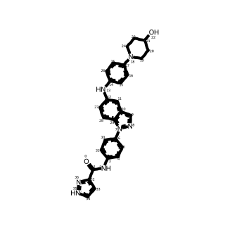 O=C(Nc1ccc(-n2ncc3cc(Nc4ccc(N5CCC(O)CC5)cc4)ccc32)cc1)c1cc[nH]n1